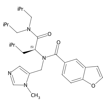 CC(C)C[C@@H](C(=O)N(CC(C)C)CC(C)C)N(Cc1cncn1C)C(=O)c1ccc2occc2c1